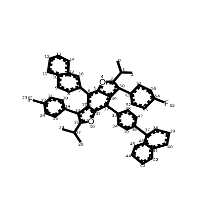 CC(C)c1oc2c(-c3ccc4ccccc4c3)c3c(-c4ccc(F)cc4)c(C(C)C)oc3c(-c3ccc(-c4cccc5ccccc45)cc3)c2c1-c1ccc(F)cc1